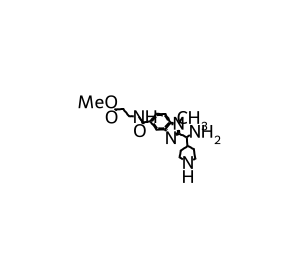 COC(=O)CCNC(=O)c1ccc2c(c1)nc(C(N)C1CCNCC1)n2C